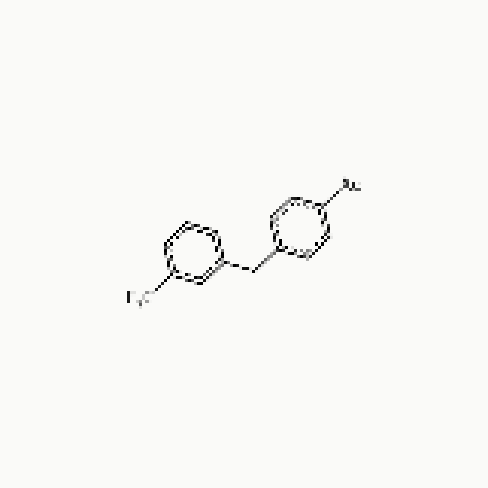 CC(=O)c1ccc(Cc2cccc(C(F)(F)F)c2)cc1